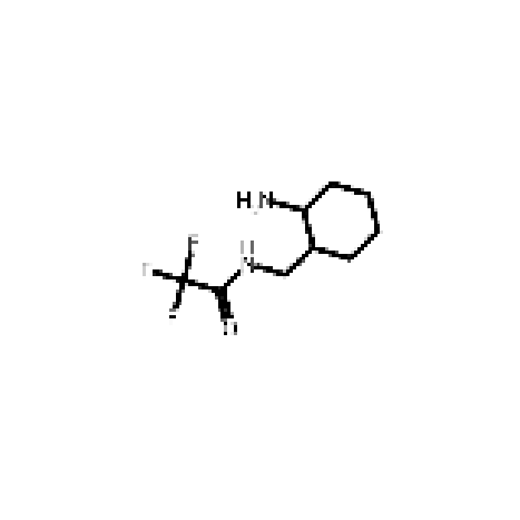 NC1CCCCC1CNC(=O)C(F)(F)F